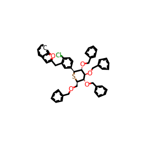 Clc1ccc([C@@H]2S[C@H](COCc3ccccc3)[C@@H](OCc3ccccc3)[C@H](OCc3ccccc3)[C@H]2OCc2ccccc2)cc1Cc1cc2ccccc2o1